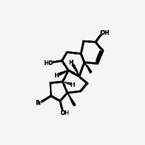 C[C@]12C=CC(O)CC1CC(O)[C@@H]1[C@H]2CC[C@]2(C)C(O)C(Br)C[C@@H]12